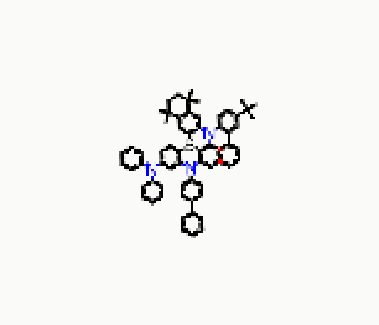 Cc1cc2c3c(c1)N(c1ccc(C(C)(C)C)cc1-c1ccccc1)c1cc4c(cc1B3c1ccc(N(c3ccccc3)c3ccccc3)cc1N2c1ccc(-c2ccccc2)cc1)C(C)(C)CCC4(C)C